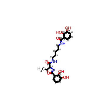 CC1OC(c2cccc(O)c2O)=NC1C(=O)NCCCCCNC(=O)c1cccc(O)c1O